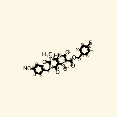 Cn1c2c(c(=O)n(Cc3ccc(C#N)cc3)c1=O)[S+]([O-])C(C(=O)OCc1ccc(F)cc1)C(=O)N2